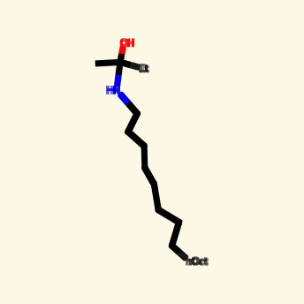 CCCCCCCCCCCCCCCCNC(C)(O)CC